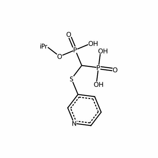 CC(C)OP(=O)(O)C(Sc1cccnc1)P(=O)(O)O